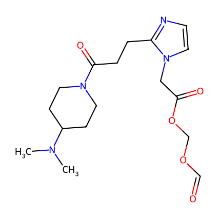 CN(C)C1CCN(C(=O)CCc2nccn2CC(=O)OCOC=O)CC1